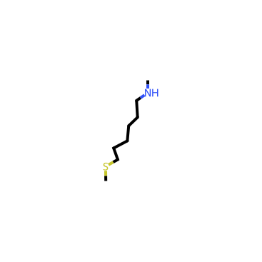 CNCCCCCCSC